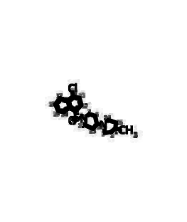 CC1CCN(C2CCN([S+]([O-])c3ccc(Cl)c4ccccc34)CC2)CC1